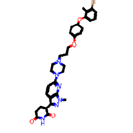 Cc1c(Br)cccc1OC1CCC(OCCCN2CCN(c3ccc4c(C5CCC(=O)NC5=O)nn(C)c4n3)CC2)CC1